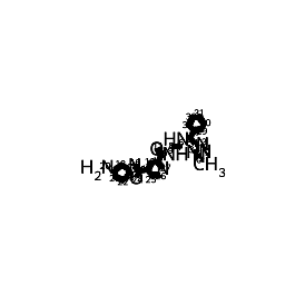 Cn1nnc(C(NCCNC(=O)c2cc(-c3nc4cc(N)ccc4o3)ccn2)c2ccccc2)n1